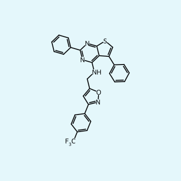 FC(F)(F)c1ccc(-c2cc(CNc3nc(-c4ccccc4)nc4scc(-c5ccccc5)c34)on2)cc1